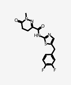 CN1N=C(C(=O)Nc2ncc(Cc3ccc(F)c(F)c3)s2)CCC1=O